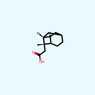 C[C@]1(CC(=O)O)C2CCC3C[C@H]2[C@H]1C3